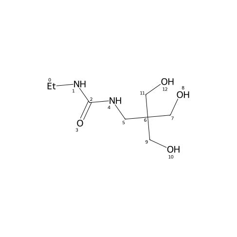 CCNC(=O)NCC(CO)(CO)CO